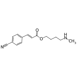 CNCCCCOC(=O)/C=C/c1ccc(C#N)cc1